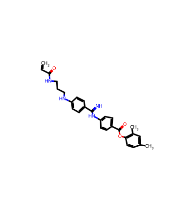 C=CC(=O)NCCCNc1ccc(C(=N)Nc2ccc(C(=O)Oc3ccc(C)cc3C)cc2)cc1